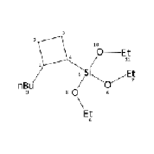 CCCCC1CCC1[Si](OCC)(OCC)OCC